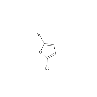 CCc1ccc(Br)o1